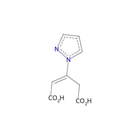 O=C(O)C=C(CC(=O)O)n1cccn1